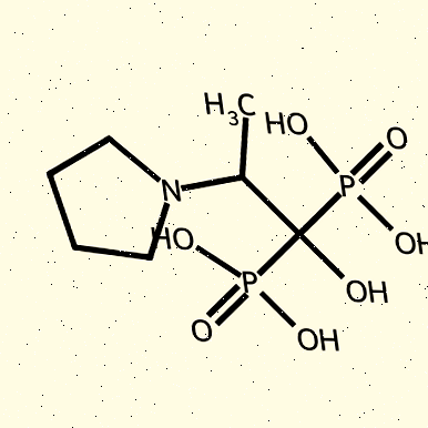 CC(N1CCCC1)C(O)(P(=O)(O)O)P(=O)(O)O